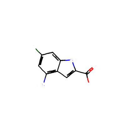 Nc1cc(F)cc2[nH]c(C(=O)O)cc12